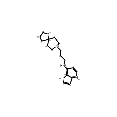 c1cc(NCCCN2CCC3(CCCO3)CC2)c2sccc2n1